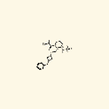 CCNC(=O)N1CCC[C@H](N[SH](C)(C)=O)[C@@H]1CO[C@H]1C[C@H](Cc2ccccc2)C1